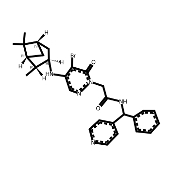 C[C@@H]1[C@H]2C[C@@H](C[C@H]1Nc1cnn(CC(=O)NC(c3ccccc3)c3ccncc3)c(=O)c1Br)C2(C)C